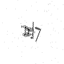 CCCCCCCCCCCCCC(C)C(C)(C)C(C)(C)C(C)(C)C(C)(C)C.CCCCCCCCCCCCCCCCC(C)C(C)(C)C.N[C@@H](CCC(=O)O)C(=O)O.O=C(O)CCCCCCC(=O)O